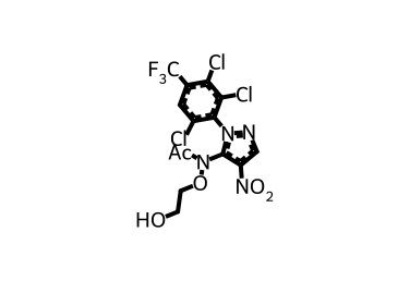 CC(=O)N(OCCO)c1c([N+](=O)[O-])cnn1-c1c(Cl)cc(C(F)(F)F)c(Cl)c1Cl